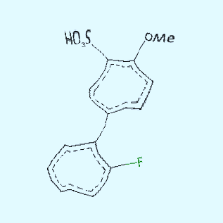 COc1ccc(-c2ccccc2F)cc1S(=O)(=O)O